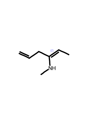 C=CC/C(=C/C)NC